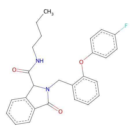 CCCCNC(=O)C1c2ccccc2C(=O)N1Cc1ccccc1Oc1ccc(F)cc1